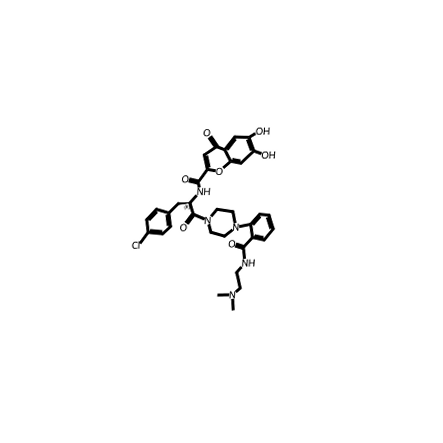 CN(C)CCNC(=O)c1ccccc1N1CCN(C(=O)[C@@H](Cc2ccc(Cl)cc2)NC(=O)c2cc(=O)c3cc(O)c(O)cc3o2)CC1